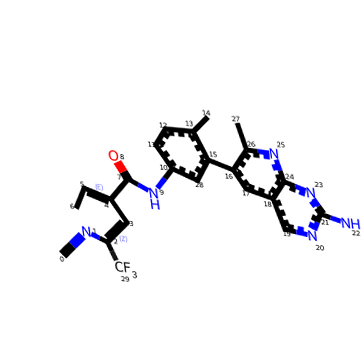 C=N/C(=C\C(=C/C)C(=O)Nc1ccc(C)c(-c2cc3cnc(N)nc3nc2C)c1)C(F)(F)F